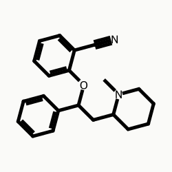 CN1CCCCC1CC(Oc1ccccc1C#N)c1ccccc1